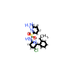 CCc1ccccc1-c1nc(NS(=O)(=O)c2cccc(N)n2)ccc1Cl